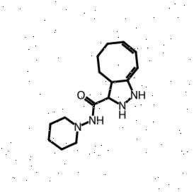 O=C(NN1CCCCC1)C1NNC2=CC=CCCCC21